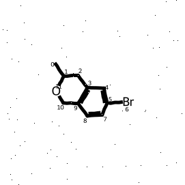 CC1Cc2cc(Br)ccc2CO1